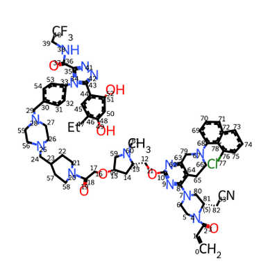 C=CC(=O)N1CCN(c2nc(OC[C@@H]3C[C@@H](OCC(=O)N4CCC(CN5CCN(Cc6ccc(-n7c(C(=O)NCC(F)(F)F)nnc7-c7cc(CC)c(O)cc7O)cc6)CC5)CC4)CN3C)nc3c2CCN(c2cccc4cccc(Cl)c24)C3)C[C@@H]1CC#N